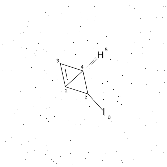 IC1C2=C[C@H]21